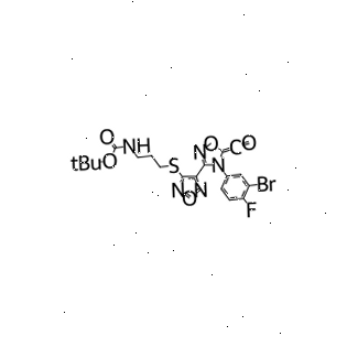 CC(C)(C)OC(=O)NCCCSc1nonc1C1=NOC(=C=O)N1c1ccc(F)c(Br)c1